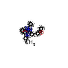 Cc1ccc2c3ccc(C(F)(F)F)cc3n(-c3ccc(-c4ccc5oc6ccccc6c5c4)cc3-c3nc(-c4ccccc4)nc(-c4ccccc4)n3)c2c1